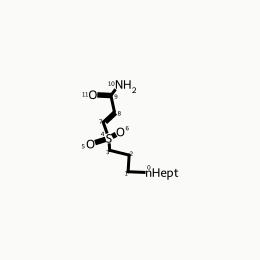 CCCCCCCCCCS(=O)(=O)C=CC(N)=O